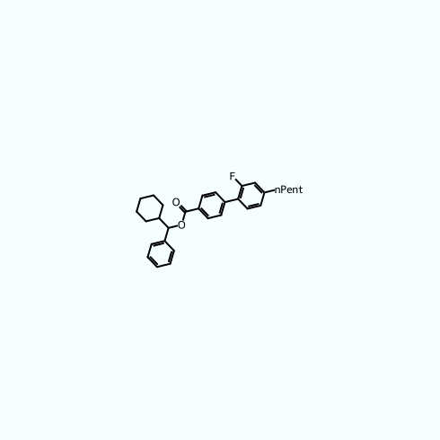 CCCCCc1ccc(-c2ccc(C(=O)OC(c3ccccc3)C3CCCCC3)cc2)c(F)c1